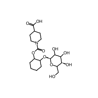 O=C(O)C1CCN(C(=O)OC2CCCCC2O[C@@H]2OC(CO)[C@H](O)C(O)C2O)CC1